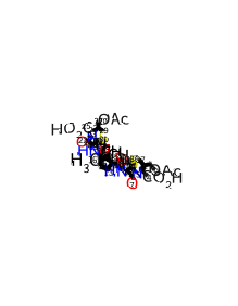 CC(=O)OCC1=C(C(=O)O)N2C(=O)[C@@H](NC(=O)C3CCC(C)(C(=O)N[C@@H]4C(=O)N5C(C(=O)O)=C(COC(C)=O)CS[C@H]45)C3(C)C)[C@H]2SC1